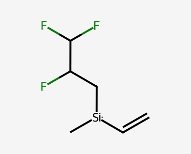 C=C[Si](C)CC(F)C(F)F